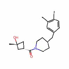 Cc1ccc(CC2CCN(C(=O)[C@H]3C[C@@](C)(O)C3)CC2)cc1C